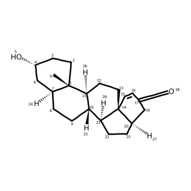 C[C@]12CC[C@@H](O)C[C@@H]1CC[C@@H]1[C@@H]2CC[C@@]23C=CC(=O)C[C@H]2CC[C@@H]13